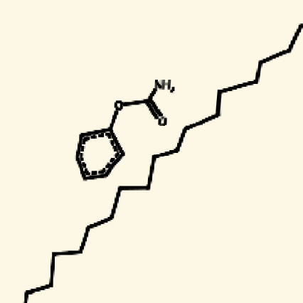 CCCCCCCCCCCCCCCCCC.NC(=O)Oc1ccccc1